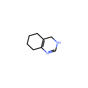 C1=NC2=C(CCCC2)CN1